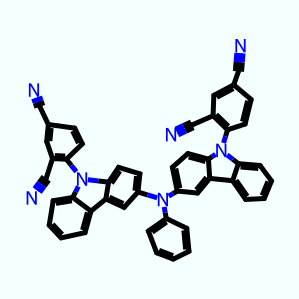 N#Cc1ccc(-n2c3ccccc3c3cc(N(c4ccccc4)c4ccc5c(c4)c4ccccc4n5-c4ccc(C#N)cc4C#N)ccc32)c(C#N)c1